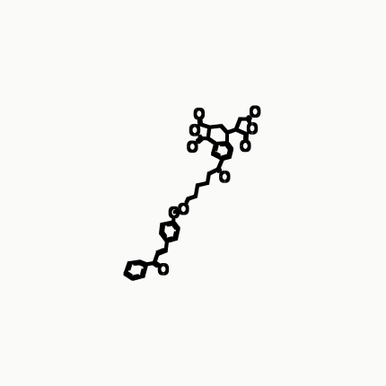 O=C1CC(C2CC3C(=O)OC(=O)C3c3cc(C(=O)CCCCCOOc4ccc(/C=C/C(=O)c5ccccc5)cc4)ccc32)C(=O)O1